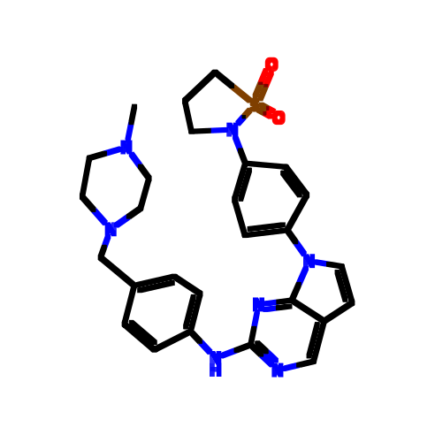 CN1CCN(Cc2ccc(Nc3ncc4ccn(-c5ccc(N6CCCS6(=O)=O)cc5)c4n3)cc2)CC1